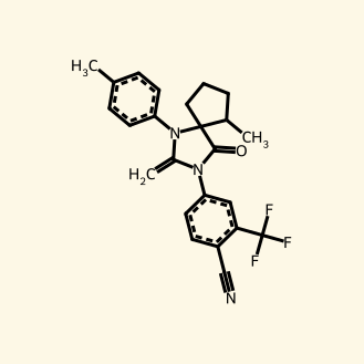 C=C1N(c2ccc(C#N)c(C(F)(F)F)c2)C(=O)C2(CCCC2C)N1c1ccc(C)cc1